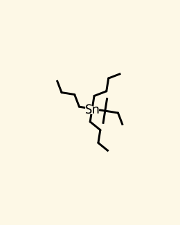 CCC[CH2][Sn]([CH2]CCC)([CH2]CCC)[C](C)(C)CC